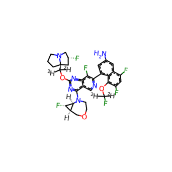 [2H]C([2H])(F)Oc1c(F)cc(F)c2cc(N)cc(-c3ncc4c(N5CCOC[C@H]6[C@H](F)[C@H]65)nc(OC([2H])([2H])[C@@]56CCCN5C[C@H](F)C6)nc4c3F)c12